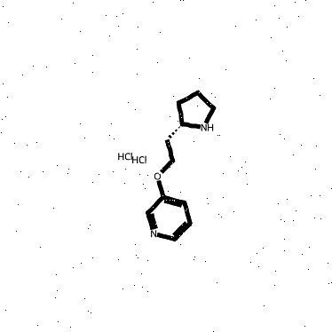 Cl.Cl.c1cncc(OCC[C@@H]2CCCN2)c1